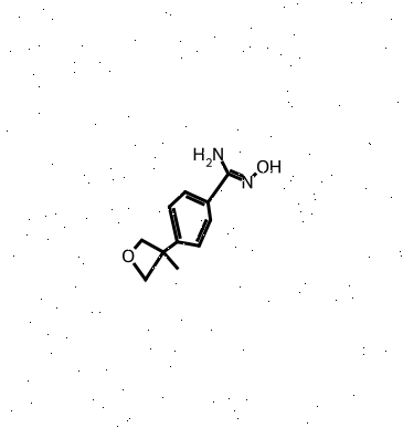 CC1(c2ccc(/C(N)=N/O)cc2)COC1